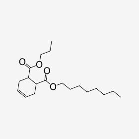 CCCCCCCCOC(=O)C1CC=CCC1C(=O)OCCC